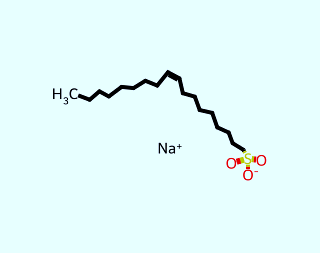 CCCCCCCC/C=C\CCCCCCCCS(=O)(=O)[O-].[Na+]